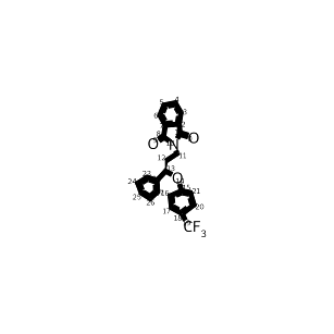 O=C1c2ccccc2C(=O)N1CC[C@@H](Oc1ccc(C(F)(F)F)cc1)c1ccccc1